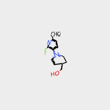 O=Cc1ccc(N2CCC(CO)CC2)c(F)n1